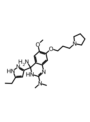 CCc1cc(C2(N)NC(N(C)C)=Nc3cc(OCCCN4CCCC4)c(OC)cc32)n[nH]1